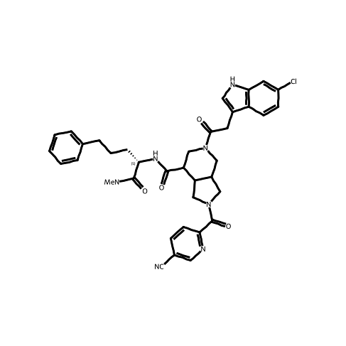 CNC(=O)[C@H](CCCc1ccccc1)NC(=O)C1CN(C(=O)Cc2c[nH]c3cc(Cl)ccc23)CC2CN(C(=O)c3ccc(C#N)cn3)CC21